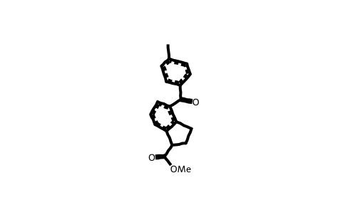 COC(=O)C1CCc2c(C(=O)c3ccc(C)cc3)cccc21